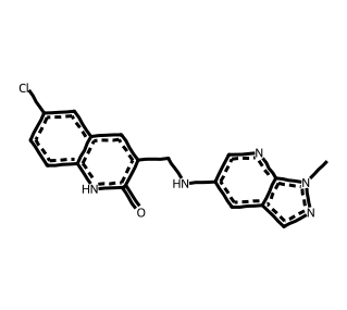 Cn1ncc2cc(NCc3cc4cc(Cl)ccc4[nH]c3=O)cnc21